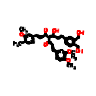 COc1cc(/C=C/C(=O)/C(C(=O)/C=C/c2ccc(OC)c(OC)c2)=C(O)/C=C/c2ccc(CO)c(CO)c2)ccc1C